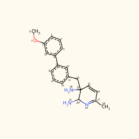 COc1cccc(-c2cccc(CC3(N)C=CC(C)=NC3N)c2)c1